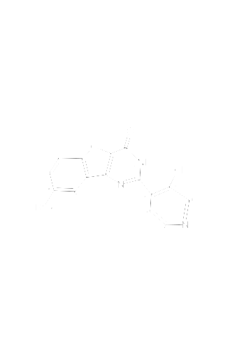 O=c1[nH]c(-c2ccncc2Cl)nc2c1oc1ccc(Br)cc12